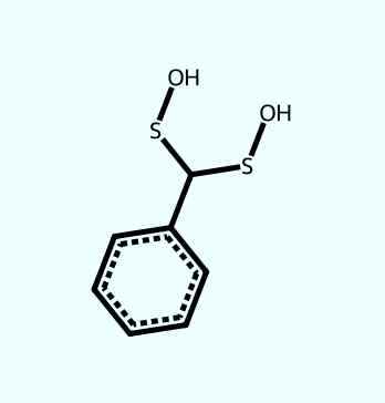 OS[C](SO)c1ccccc1